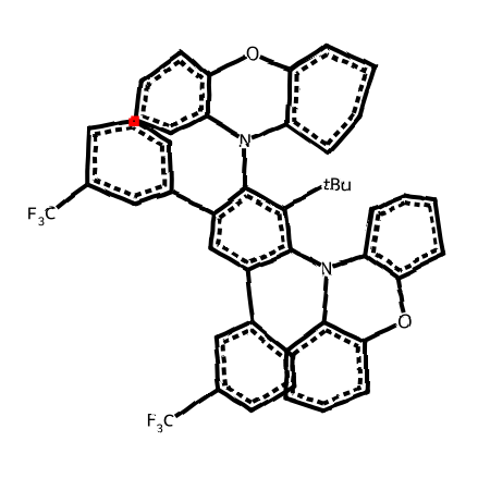 CC(C)(C)c1c(N2c3ccccc3Oc3ccccc32)c(-c2cccc(C(F)(F)F)c2)cc(-c2cccc(C(F)(F)F)c2)c1N1c2ccccc2Oc2ccccc21